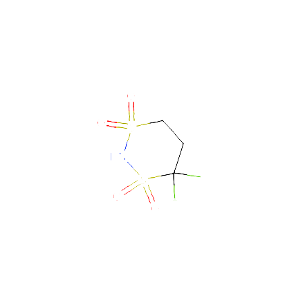 O=S1(=O)CCC(F)(F)S(=O)(=O)N1